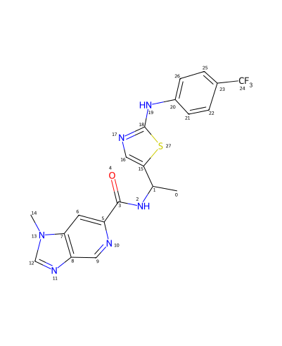 CC(NC(=O)c1cc2c(cn1)ncn2C)c1cnc(Nc2ccc(C(F)(F)F)cc2)s1